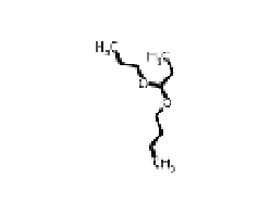 CCCCO[C](CC)OCCC